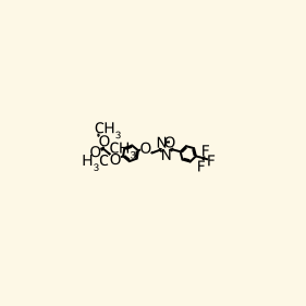 CCOC(=O)C(C)(C)Oc1ccc(OCc2noc(-c3ccc(C(F)(F)F)cc3)n2)cc1